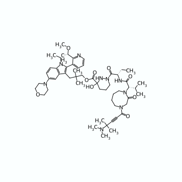 CC[C@H](NC(=O)[C@H](C(C)C)N1CCCCN(C(=O)C#CC(C)(C)N(C)C)CC1=O)C(=O)N1CCCC(O)(C(=O)OCC(C)(C)Cc2c(-c3cccnc3[C@H](C)OC)n(CC)c3ccc(N4CCOCC4)cc23)N1